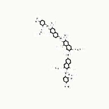 Nc1c(N=Nc2ccc3c(O)c(N=Nc4ccc([N+](=O)[O-])cc4SOOO)c(S(=O)(=O)O)cc3c2)c(S(=O)(=O)O)cc2cc(SOOO)c(N=Nc3ccc4c(O)c(N=Nc5ccc([N+](=O)[O-])cc5S(=O)(=O)O)c(SOOO)cc4c3)c(O)c12